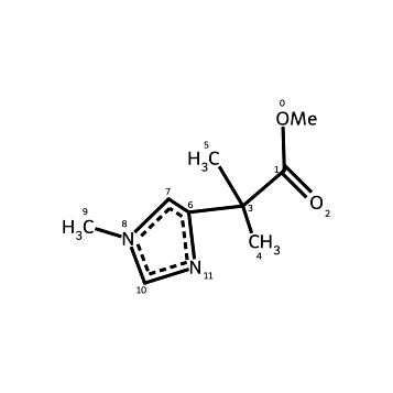 COC(=O)C(C)(C)c1cn(C)cn1